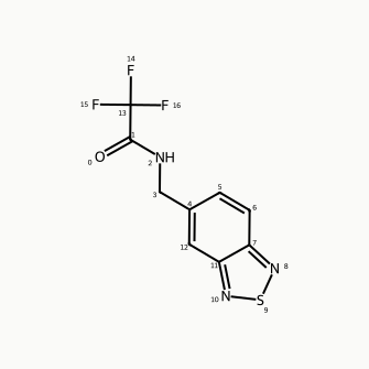 O=C(NCc1ccc2nsnc2c1)C(F)(F)F